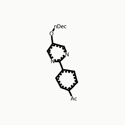 CCCCCCCCCCOc1cnc(-c2ccc(C(C)=O)cc2)nc1